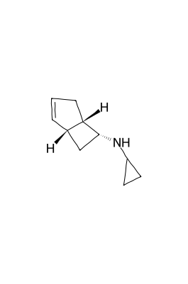 C1=C[C@H]2C[C@@H](NC3CC3)[C@H]2C1